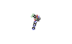 CN(C1CCc2ccc(C(=O)N3CCC4(CC3)CCN(c3ccncc3)CC4)cc21)S(=O)(=O)c1cc(Cl)c(Cl)cc1Cl